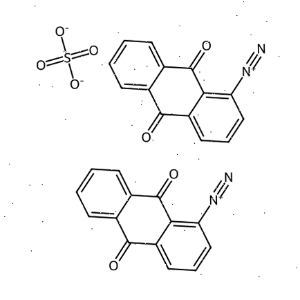 N#[N+]c1cccc2c1C(=O)c1ccccc1C2=O.N#[N+]c1cccc2c1C(=O)c1ccccc1C2=O.O=S(=O)([O-])[O-]